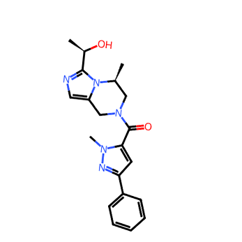 C[C@@H](O)c1ncc2n1[C@@H](C)CN(C(=O)c1cc(-c3ccccc3)nn1C)C2